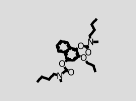 CCCCN(C)C(=O)Oc1cc(OCCC)c(OC(=O)N(C)CCCC)c2ccccc12